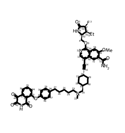 CC[C@@H]1[C@H](F)C(=O)N[C@@H]1COc1ncc(C#C[C@H]2CC[C@H](CN(C)CCCCCc3ccc(Oc4cccc5c4C(=O)NC(=O)C5=O)cc3)CC2)c2cc(C(N)=O)c(OC)cc12